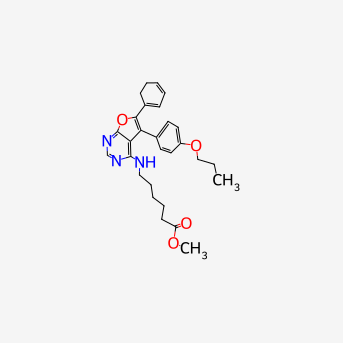 CCCOc1ccc(-c2c(C3=CC=CCC3)oc3ncnc(NCCCCCC(=O)OC)c23)cc1